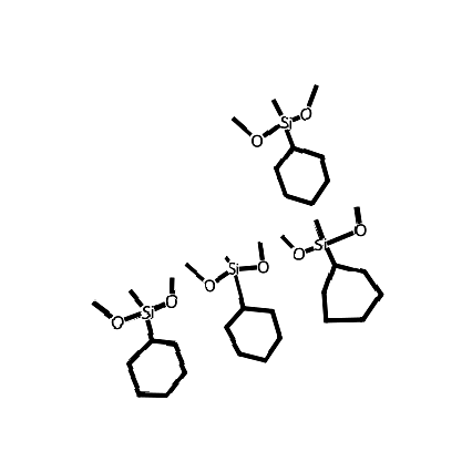 CO[Si](C)(OC)C1CCCCC1.CO[Si](C)(OC)C1CCCCC1.CO[Si](C)(OC)C1CCCCC1.CO[Si](C)(OC)C1CCCCC1